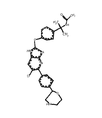 CC(=O)NC(C)(C)c1ccc(Oc2nc3nc(-c4ccc(C5CNCCO5)cc4)c(Cl)cc3[nH]2)cc1